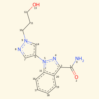 NC(=O)c1nn(-c2cnn(CCCO)c2)c2ccccc12